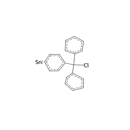 ClC(c1ccccc1)(c1ccccc1)c1ccccc1.[Sn]